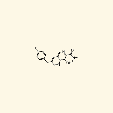 CN(C)C(=O)c1ncc2cc(Cc3ccc(F)cc3)cnc2c1O